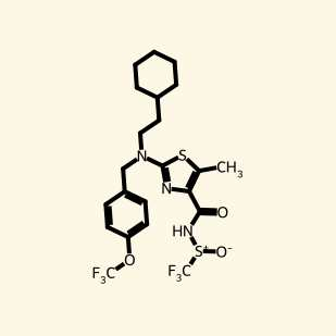 Cc1sc(N(CCC2CCCCC2)Cc2ccc(OC(F)(F)F)cc2)nc1C(=O)N[S+]([O-])C(F)(F)F